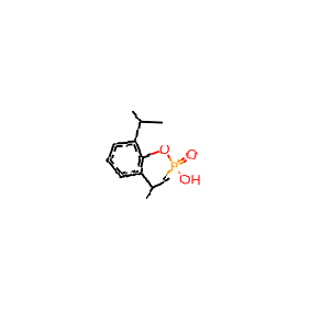 CC(C)c1cccc(C(C)C)c1OP(C)(=O)O